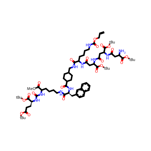 C=CCOC(=O)NCCCCC(NC(=O)CC(NC(=O)CC(NC(=O)CC(N)C(=O)OC(C)(C)C)C(=O)OC(C)(C)C)C(=O)OC(C)(C)C)C(=O)NCC1CCC(C(=O)N[C@@H](Cc2ccc3ccccc3c2)C(=O)NCCCCC(NC(=O)N[C@@H](CCC(=O)OC(C)(C)C)C(=O)OC(C)(C)C)C(=O)OC)CC1